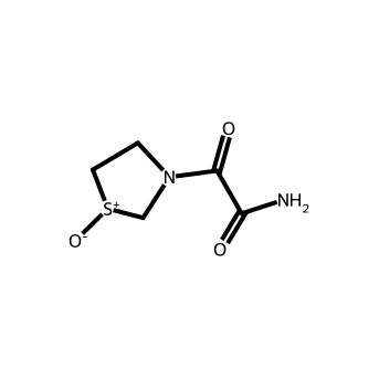 NC(=O)C(=O)N1CC[S+]([O-])C1